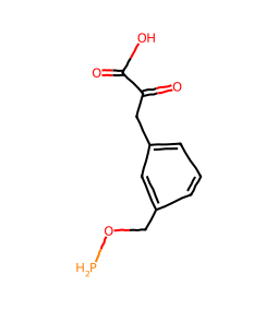 O=C(O)C(=O)Cc1cccc(COP)c1